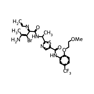 C=C/N=C(C(=O)NC(C)c1ncc(C(=O)Nc2cc(C(F)(F)F)ccc2OCCOC)s1)\C(Br)=C(/C)N